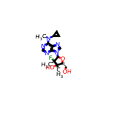 CN(c1ncnc2c1ncn2C1O[C@H](CO)C(C)(O)[C@@]1(C)F)C1CC1